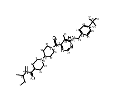 CCC(C)NC(=O)C1CCN(C2CCN(C(=O)c3ncnc(NCc4ccc(C(C)(C)C)cc4)c3C)CC2)CC1